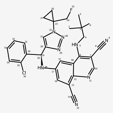 CC(C)(C)CNc1c(C#N)cnc2c(C#N)cc(N[C@H](c3cn(C4(CF)CC4)nn3)c3ccccc3Cl)cc12